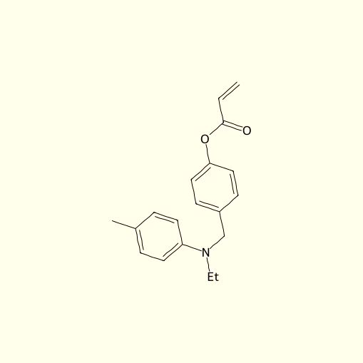 C=CC(=O)Oc1ccc(CN(CC)c2ccc(C)cc2)cc1